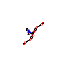 C=CC(=O)OCCCCCCOc1ccc(C(=O)Oc2ccc(OC(=O)C3=CCC(OCCCCCCOC(=O)C=C)C=C3)cc2/C=N/N(C(=O)C=C)c2nc3ccccc3s2)cc1